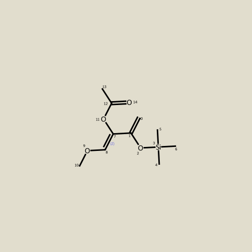 C=C(O[Si](C)(C)C)/C(=C/OC)OC(C)=O